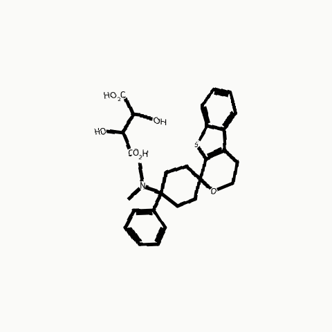 CN(C)C1(c2ccccc2)CCC2(CC1)OCCc1c2sc2ccccc12.O=C(O)C(O)C(O)C(=O)O